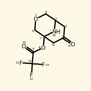 O=C1CC2COCC(OC(=O)C(F)(F)F)(C1)N2